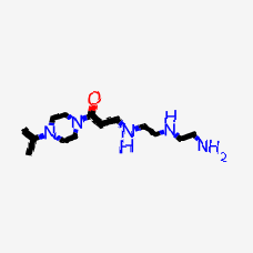 CC(C)N1CCN(C(=O)CCNCCNCCN)CC1